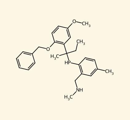 CCC(C)(Pc1ccc(C)cc1CNC)c1cc(OC)ccc1OCc1ccccc1